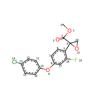 COC(=O)C1(c2ccc(Oc3ccc(Cl)cc3)cc2F)CO1